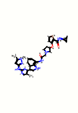 Cc1cnc(Nc2cc(C)n(C)n2)nc1-c1c[nH]c2c(NC(=O)CN3CCC(Oc4ccsc4C(=O)NC4CC4)C3)cccc12